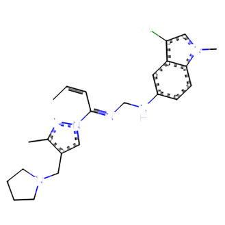 C/C=C\C(=N/CNc1ccc2c(c1)c(Cl)cn2C)n1cc(CN2CCCC2)c(C)n1